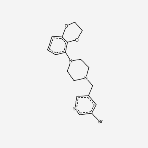 Brc1cncc(CN2CCN(c3cccc4c3OCCO4)CC2)c1